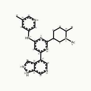 CC(=O)N1CC(c2nc(Nc3cncc(C)c3)cc(-c3cncc4[nH]ncc34)n2)CCC1C